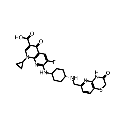 O=C1CSc2ccc(CN[C@H]3CC[C@H](Nc4nc5c(cc4F)c(=O)c(C(=O)O)cn5C4CC4)CC3)nc2N1